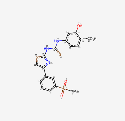 CNS(=O)(=O)c1cccc(-c2csc(NC(=S)Nc3ccc(C(=O)O)c(O)c3)n2)c1